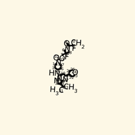 C=C(F)C(=O)N1CC(F)(COC(=O)N2CCC(Nc3cc(C4=CCOCC4)nc4c(C(C)C)cnn34)CC2)C1